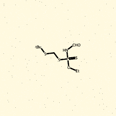 CCOP(=S)(NC=O)SCSC(C)(C)C